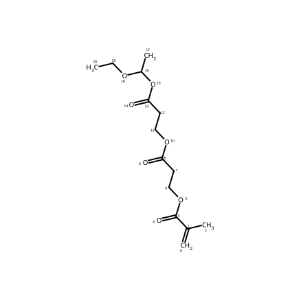 C=C(C)C(=O)OCCC(=O)OCCC(=O)OC(C)OCC